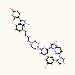 Cn1nc(C2CCC(=O)NC2=O)c2cccc(CCCCN3CCN(c4cccc(-c5cnc6ccc(N7CCC[C@@H]7c7cccc(F)c7)nn56)n4)CC3)c21